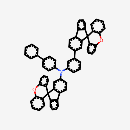 c1ccc(-c2ccc(N(c3cccc(-c4ccc5c(c4)C4(c6ccccc6Oc6ccccc64)c4ccccc4-5)c3)c3ccc4c(c3)C3(c5ccccc5Oc5ccccc53)c3ccccc3-4)cc2)cc1